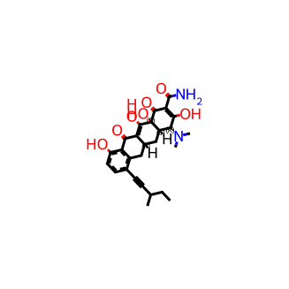 CCC(C)C#Cc1ccc(O)c2c1C[C@H]1C[C@H]3[C@@H](N(C)C)C(O)=C(C(N)=O)C(=O)[C@@]3(O)C(O)=C1C2=O